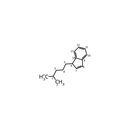 CC(C)CCCC1C=Cc2ccccc21